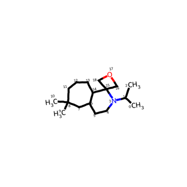 CC(C)N1CCC2CC(C)(C)CCCC2C12COC2